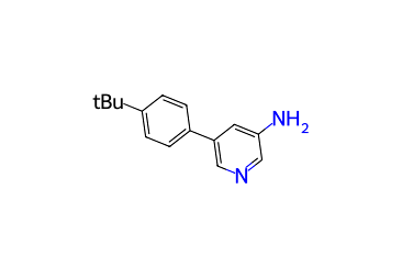 CC(C)(C)c1ccc(-c2cncc(N)c2)cc1